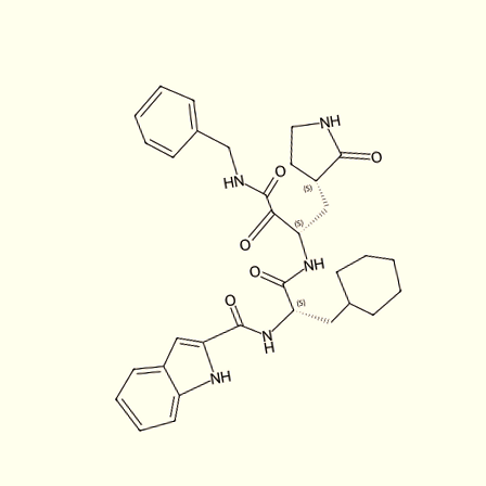 O=C(NCc1ccccc1)C(=O)[C@H](C[C@@H]1CCNC1=O)NC(=O)[C@H](CC1CCCCC1)NC(=O)c1cc2ccccc2[nH]1